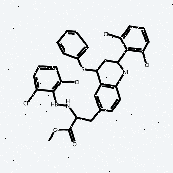 COC(=O)C(Cc1ccc2c(c1)C(Sc1ccccc1)CC(c1c(Cl)cccc1Cl)N2)NBc1c(Cl)cccc1Cl